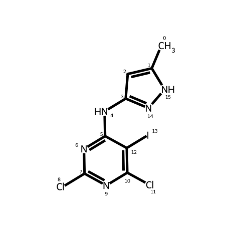 Cc1cc(Nc2nc(Cl)nc(Cl)c2I)n[nH]1